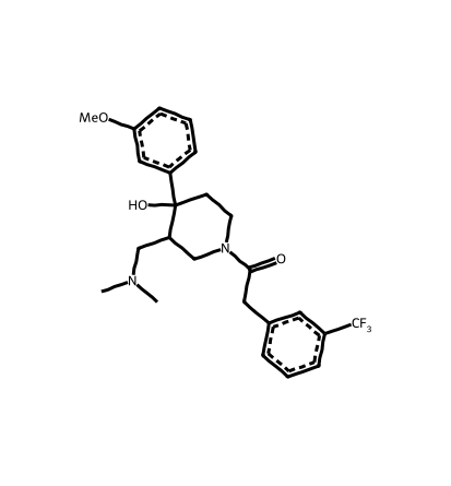 COc1cccc(C2(O)CCN(C(=O)Cc3cccc(C(F)(F)F)c3)CC2CN(C)C)c1